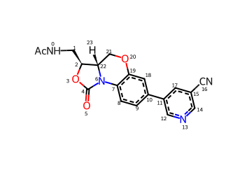 CC(=O)NC[C@@H]1OC(=O)N2c3ccc(-c4cncc(C#N)c4)cc3OC[C@@H]12